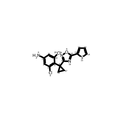 Nc1cc(Cl)c(C2(c3noc(-c4cccs4)n3)CC2)c(Cl)c1